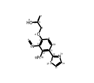 C=Nc1c(OCC(C)O)ccc(-c2nccs2)c1CCC